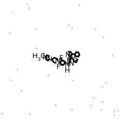 CN1CCN(C2CCN(c3c(F)cc(Nc4nc(N5N=CCC5c5ccccc5)c5sccc5n4)cc3F)CC2)CC1